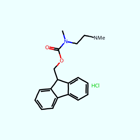 CNCCN(C)C(=O)OCC1c2ccccc2-c2ccccc21.Cl